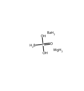 BP(=O)(O)O.[BaH2].[MgH2]